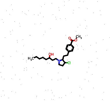 CCCCCC(O)CCN1CCC(Cl)C1CCc1ccc(C(=O)OC)cc1